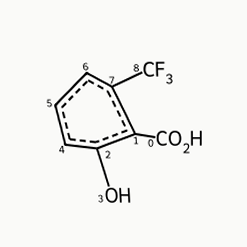 O=C(O)c1c(O)cccc1C(F)(F)F